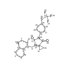 Cc1cnc2ccccc2c1CN1C(=O)N(c2ccc(SC(F)(F)F)cc2)C(=O)C12CC2